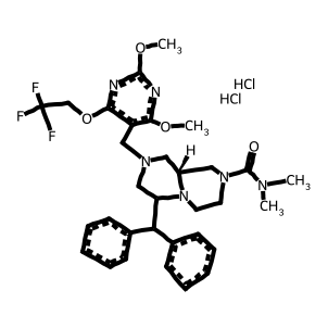 COc1nc(OC)c(CN2CC(C(c3ccccc3)c3ccccc3)N3CCN(C(=O)N(C)C)C[C@H]3C2)c(OCC(F)(F)F)n1.Cl.Cl